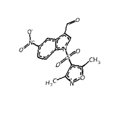 Cc1noc(C)c1S(=O)(=O)n1cc(C=O)c2cc([N+](=O)[O-])ccc21